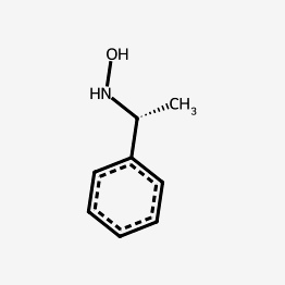 C[C@@H](NO)c1ccccc1